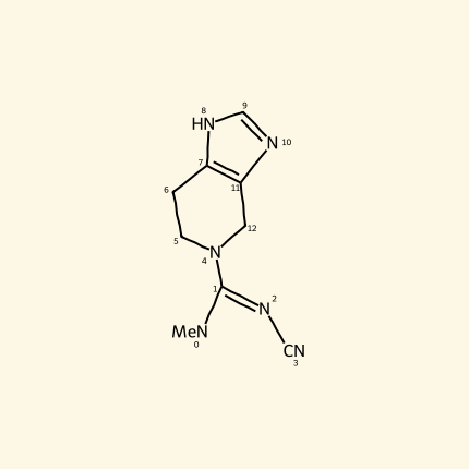 CNC(=NC#N)N1CCc2[nH]cnc2C1